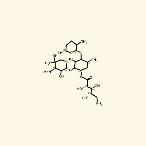 CC[C@@H]1CCC(N)[C@@H](OC2C(O)C(O[C@H]3OCC(C)(O)[C@H](NC)C3O)[C@H](NC(=O)[C@@H](O)[C@@H](O)[C@@H](O)CN)C[C@@H]2C)O1